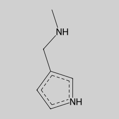 CNCc1cc[nH]c1